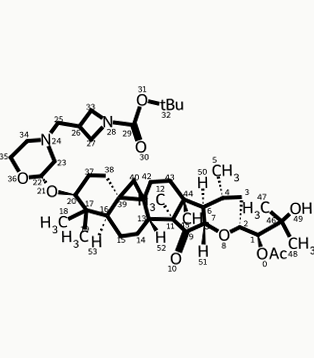 CC(=O)O[C@@H]([C@H]1C[C@@H](C)[C@H]2[C@H](O1)C(=O)[C@@]1(C)[C@@H]3CC[C@H]4C(C)(C)[C@@H](O[C@H]5CN(CC6CN(C(=O)OC(C)(C)C)C6)CCO5)CC[C@@]45CC35CC[C@]21C)C(C)(C)O